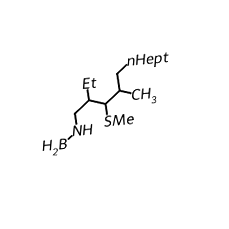 BNCC(CC)C(SC)C(C)CCCCCCCC